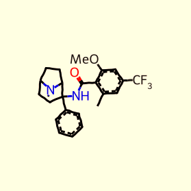 COc1cc(C(F)(F)F)cc(C)c1C(=O)NC1(c2ccccc2)CCC2CCC1N2C